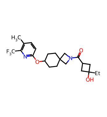 CCC1(O)CC(C(=O)N2CC3(CCC(Oc4ccc(C)c(C(F)(F)F)n4)CC3)C2)C1